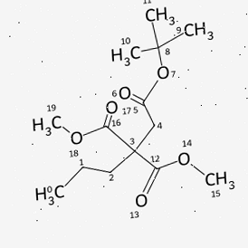 CCCC(CC(=O)OC(C)(C)C)(C(=O)OC)C(=O)OC